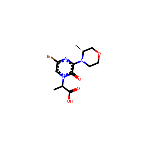 CC(C(=O)O)n1cc(Br)nc(N2CCOC[C@H]2C)c1=O